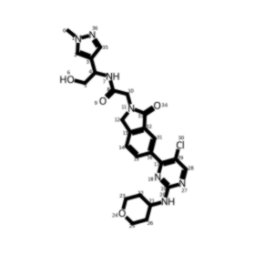 Cn1cc(C(CO)NC(=O)CN2Cc3ccc(-c4nc(NC5CCOCC5)ncc4Cl)cc3C2=O)cn1